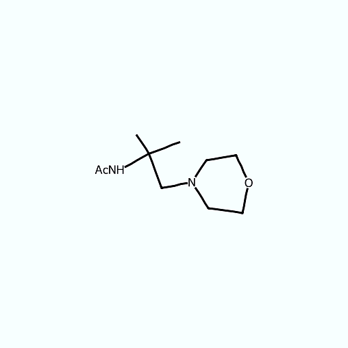 CC(=O)NC(C)(C)CN1CCOCC1